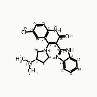 CN(C)[C@@H]1CCN(c2c(-c3nc4ccccc4[nH]3)c(=O)[nH]c3ccc(Cl)cc23)C1